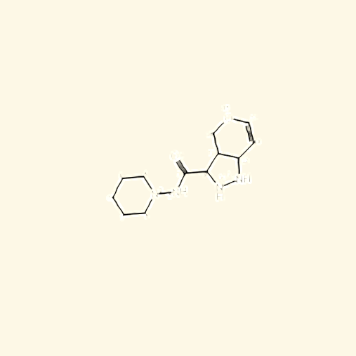 O=C(NN1CCCCC1)C1NNC2C=COCC21